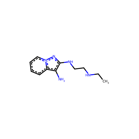 CCNCCNc1nn2ccccc2c1N